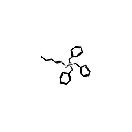 CCC/C=N/O[Si](Cc1ccccc1)(Cc1ccccc1)Cc1ccccc1